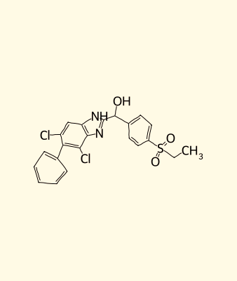 CCS(=O)(=O)c1ccc(C(O)c2nc3c(Cl)c(-c4ccccc4)c(Cl)cc3[nH]2)cc1